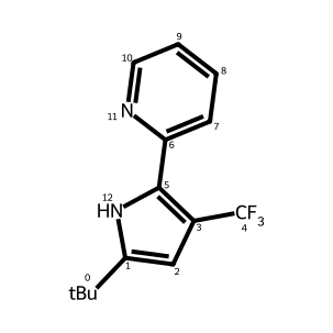 CC(C)(C)c1cc(C(F)(F)F)c(-c2ccccn2)[nH]1